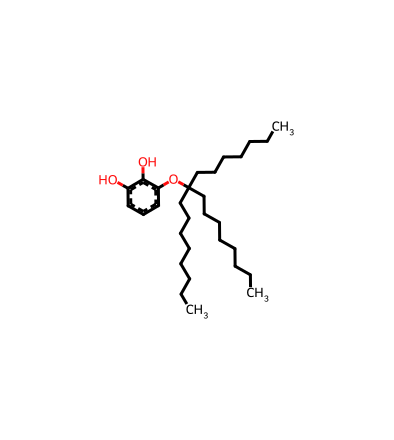 CCCCCCCCC(CCCCCCC)(CCCCCCCC)Oc1cccc(O)c1O